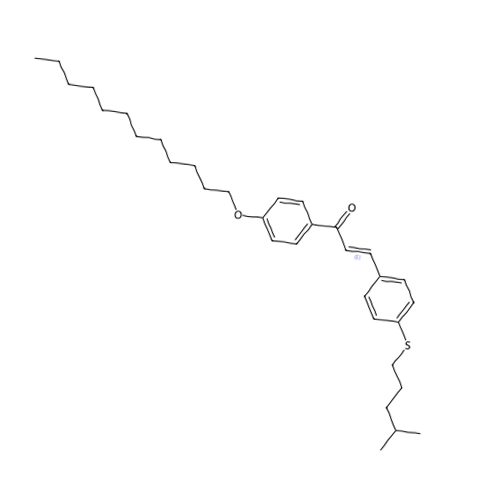 CCCCCCCCCCCCOc1ccc(C(=O)/C=C/c2ccc(SCCCC(C)C)cc2)cc1